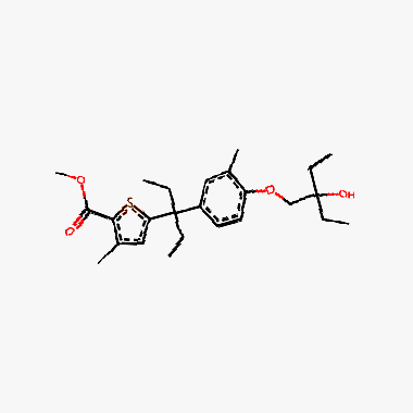 CCC(O)(CC)COc1ccc(C(CC)(CC)c2cc(C)c(C(=O)OC)s2)cc1C